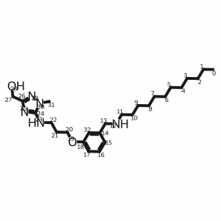 CCCCCCCCCCCCNCc1cccc(OCCCNc2nc(CO)nn2C)c1